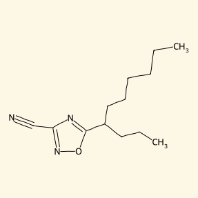 CCCCCCC(CCC)c1nc(C#N)no1